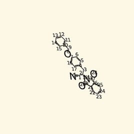 N#CC(Cc1ccc(OCc2ccccc2)cc1)N1C(=O)c2ccccc2C1=O